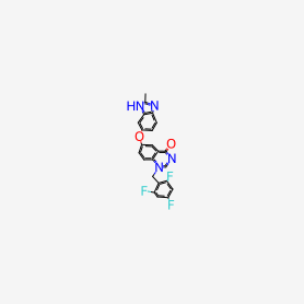 Cc1nc2ccc(Oc3ccc4c(c3)c(=O)ncn4Cc3c(F)cc(F)cc3F)cc2[nH]1